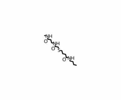 CCCCNC(=O)CCCSCC(=O)NCCC(=O)NC